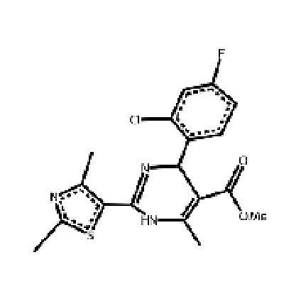 COC(=O)C1=C(C)NC(c2sc(C)nc2C)=NC1c1ccc(F)cc1Cl